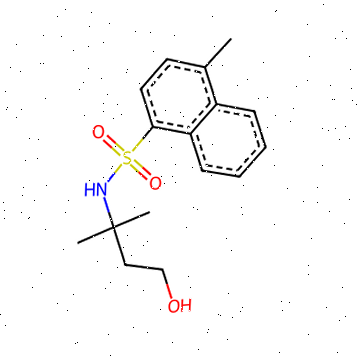 Cc1ccc(S(=O)(=O)NC(C)(C)CCO)c2ccccc12